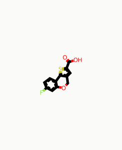 O=C(O)c1cc2c(s1)-c1ccc(F)cc1OC2